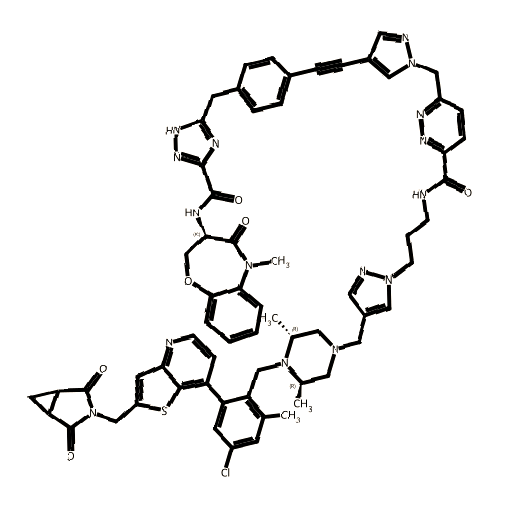 Cc1cc(Cl)cc(-c2ccnc3cc(CN4C(=O)C5CC5C4=O)sc23)c1CN1[C@H](C)CN(Cc2cnn(CCCNC(=O)c3ccc(Cn4cc(C#Cc5ccc(Cc6nc(C(=O)N[C@@H]7COc8ccccc8N(C)C7=O)n[nH]6)cc5)cn4)nn3)c2)C[C@H]1C